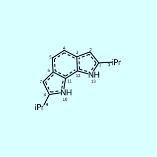 CC(C)c1cc2ccc3cc(C(C)C)[nH]c3c2[nH]1